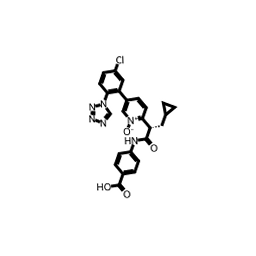 O=C(O)c1ccc(NC(=O)[C@@H](CC2CC2)c2ccc(-c3cc(Cl)ccc3-n3cnnn3)c[n+]2[O-])cc1